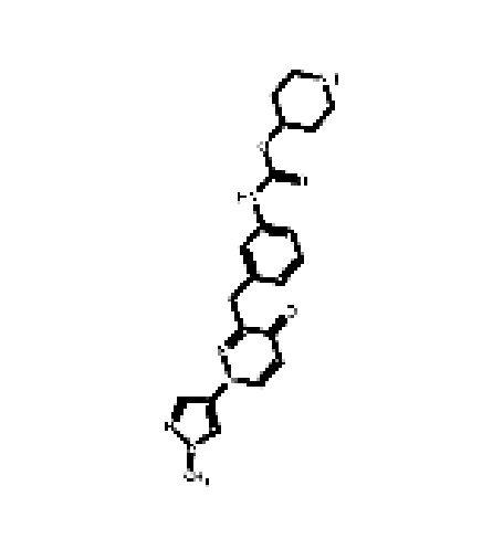 Cn1cc(-n2ccc(=O)c(Cc3cccc(NC(=O)OC4CCNCC4)c3)n2)cn1